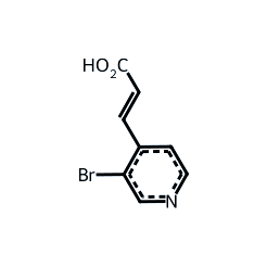 O=C(O)C=Cc1ccncc1Br